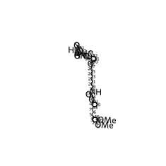 COc1ccc(CCCc2cccc(OCC(=O)NCCCCCCCCCCOc3cccc(C=O)c3CONC3CCC(=O)NC3=O)c2)cc1OC